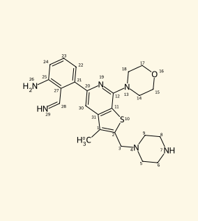 Cc1c(CN2CCNCC2)sc2c(N3CCOCC3)nc(-c3cccc(N)c3C=N)cc12